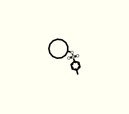 Cc1ccc(S(=O)(=O)OC2CCCCCCCCCCCC2)cc1